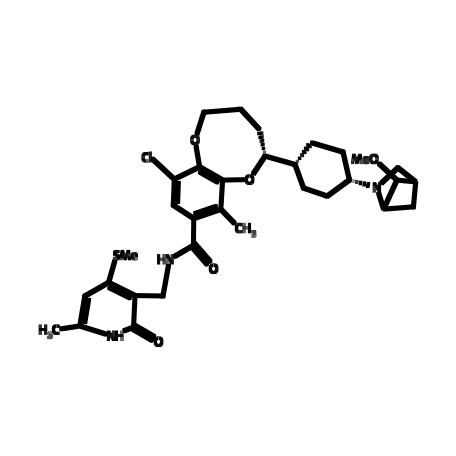 COC1C2CC1N([C@H]1CC[C@@H]([C@H]3CCCOc4c(Cl)cc(C(=O)NCc5c(SC)cc(C)[nH]c5=O)c(C)c4O3)CC1)C2